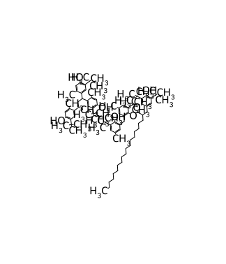 CCCCCCCCCCCCCCCCCCC(Cc1cc(C(C)(C)C)c(O)c(C(C)(C)C)c1)C(=O)Oc1c(Cc2cc(C)cc(C(C)(C)C)c2O)cc(C)cc1C(C)(C)C.Cc1cc(O)c(C(C)(C)C)cc1C(C)CC(c1cc(C(C)(C)C)c(O)cc1C)c1cc(C(C)(C)C)c(O)cc1C